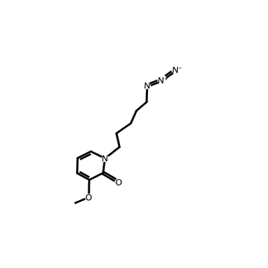 COc1cccn(CCCCCN=[N+]=[N-])c1=O